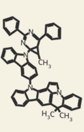 CC1C2C(c3ccccc3)=NC(c3ccccc3)=NC12n1c2ccccc2c2cc(-n3c4ccccc4c4cc5c6c(ccn6-c6ccccc6C5(C)C)c43)ccc21